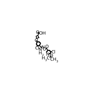 CC(C)Oc1ncc(C(=O)O/N=C(\N)c2ccc(OC3CC(C(=O)O)C3)cc2Cl)cc1Cl